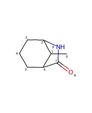 CC1C2CCCC1C(=O)N2